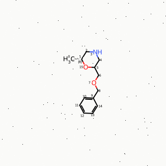 C[C@@H]1CNCC(COCc2ccccc2)O1